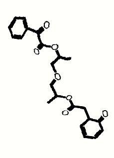 CC(COCC(C)OC(=O)C(=O)c1ccccc1)OC(=O)CC1C=CC=CC1=O